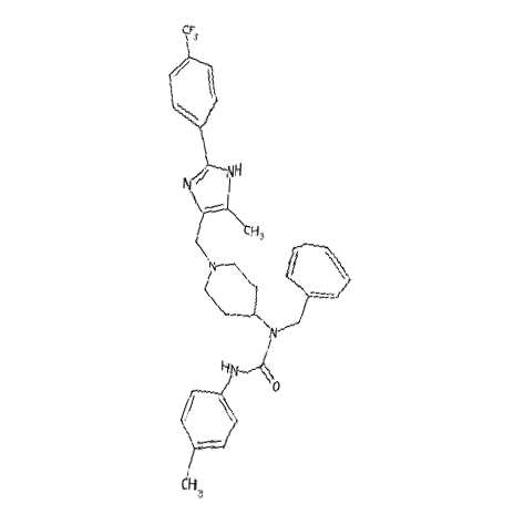 Cc1ccc(NC(=O)N(Cc2ccccc2)C2CCN(Cc3nc(-c4ccc(C(F)(F)F)cc4)[nH]c3C)CC2)cc1